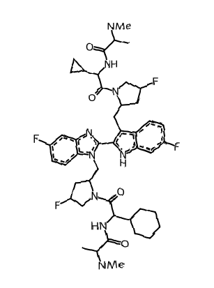 CNC(C)C(=O)NC(C(=O)N1CC(F)CC1Cc1c(-c2nc3cc(F)ccc3n2CC2CC(F)CN2C(=O)C(NC(=O)C(C)NC)C2CCCCC2)[nH]c2cc(F)ccc12)C1CC1